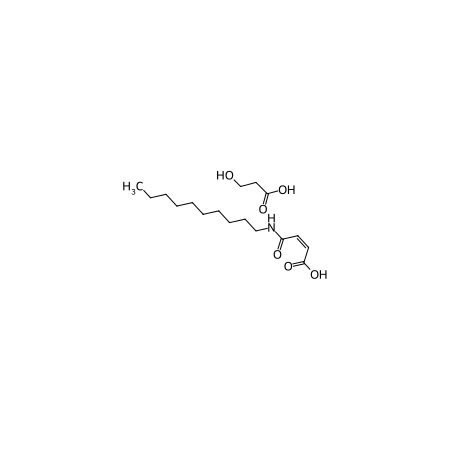 CCCCCCCCCCNC(=O)/C=C\C(=O)O.O=C(O)CCO